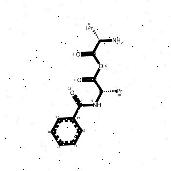 CC(C)[C@H](N)C(=O)OC(=O)[C@@H](NC(=O)c1ccccc1)C(C)C